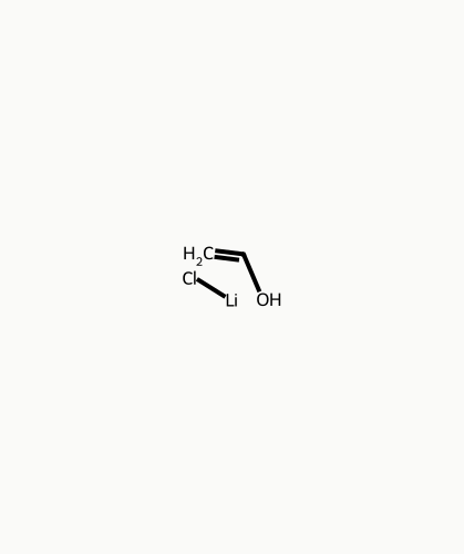 C=CO.[Li][Cl]